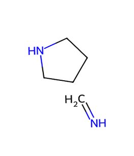 C1CCNC1.C=N